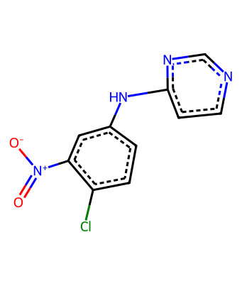 O=[N+]([O-])c1cc(Nc2ccncn2)ccc1Cl